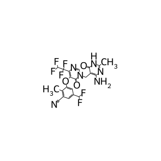 Cc1nc(N)c(Cn2cnc(C(F)(F)C(F)F)c(Oc3cc(C(F)F)cc(C#N)c3C)c2=O)c(=O)[nH]1